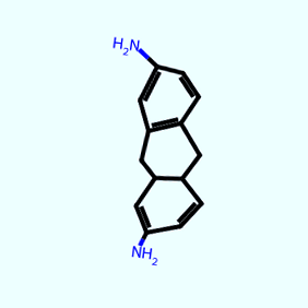 NC1=CC2Cc3cc(N)ccc3CC2C=C1